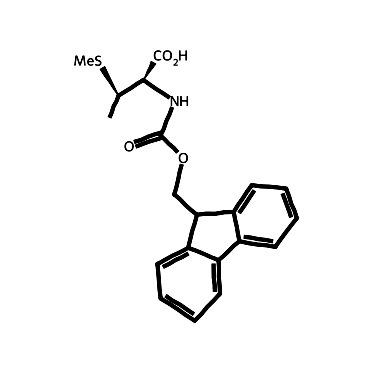 CS[C@H](C)[C@H](NC(=O)OCC1c2ccccc2-c2ccccc21)C(=O)O